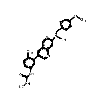 CNC(=O)Nc1ccc(C)c(-c2cnc3cc(N(C)Cc4ccc(OC)cc4)ncc3c2)c1